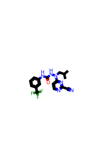 CC(C)CN(NC(=O)Nc1cccc(C(F)(F)F)c1)c1ccnc(C#N)n1